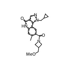 COCC1CN(C(=O)c2cc3c(cc2C)[nH]c(=O)c2cnn(CC4CC4)c23)C1